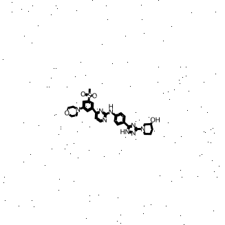 CS(=O)(=O)c1cc(-c2ccnc(Nc3ccc(-c4nc(N5CCCC(O)C5)n[nH]4)cc3)n2)cc(N2CCOCC2)c1